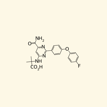 CC(C)(Nc1cc(C(N)=O)nc(-c2ccc(Oc3ccc(F)cc3)cc2)n1)C(=O)O